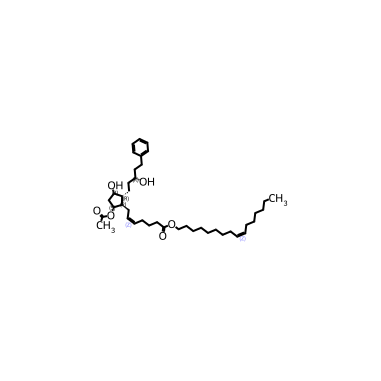 CCCCCC/C=C\CCCCCCCCOC(=O)CCC/C=C\C[C@@H]1[C@@H](CC[C@@H](O)CCc2ccccc2)[C@H](O)C[C@@H]1OC(C)=O